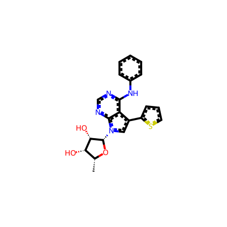 C[C@H]1O[C@@H](n2cc(-c3cccs3)c3c(Nc4ccccc4)ncnc32)[C@@H](O)[C@H]1O